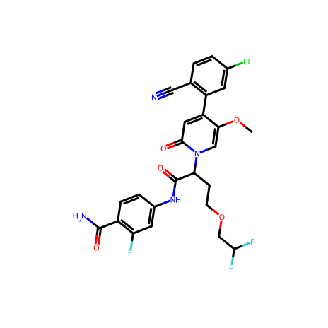 COc1cn(C(CCOCC(F)F)C(=O)Nc2ccc(C(N)=O)c(F)c2)c(=O)cc1-c1cc(Cl)ccc1C#N